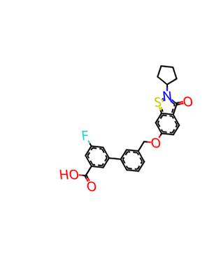 O=C(O)c1cc(F)cc(-c2cccc(COc3ccc4c(=O)n(C5CCCC5)sc4c3)c2)c1